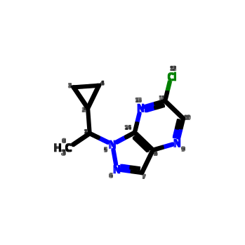 CC(C1CC1)n1ncc2ncc(Cl)nc21